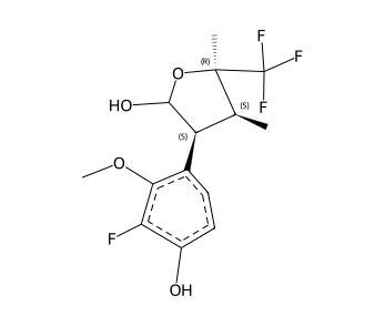 COc1c([C@H]2C(O)O[C@@](C)(C(F)(F)F)[C@H]2C)ccc(O)c1F